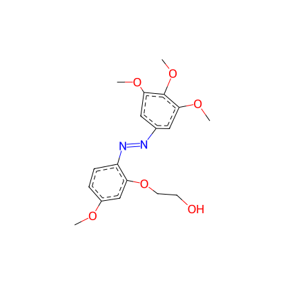 COc1ccc(N=Nc2cc(OC)c(OC)c(OC)c2)c(OCCO)c1